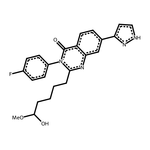 COC(O)CCCCc1nc2cc(-c3cc[nH]n3)ccc2c(=O)n1-c1ccc(F)cc1